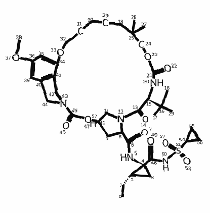 CC[C@H]1C[C@@]1(NC(=O)C1C[C@@H]2CN1C(=O)[C@H](C(C)(C)C)NC(=O)OCC(C)(C)CCCCCOc1cc(OC)cc3c1CN(C3)C(=O)O2)C(=O)NS(=O)(=O)C1CC1